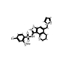 CCc1ccc(S(=O)(=O)Nc2noc3cc(Cn4cccn4)c4c(c23)OCCC4)c(OC)c1